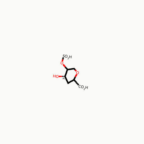 O=C(O)C1C[C@@H](O)C(OS(=O)(=O)O)CO1